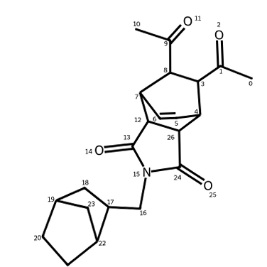 CC(=O)C1C2C=CC(C1C(C)=O)C1C(=O)N(CC3CC4CCC3C4)C(=O)C21